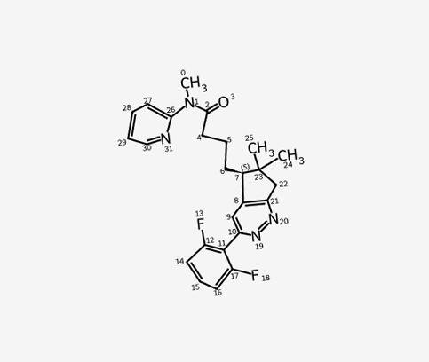 CN(C(=O)CCC[C@@H]1c2cc(-c3c(F)cccc3F)nnc2CC1(C)C)c1ccccn1